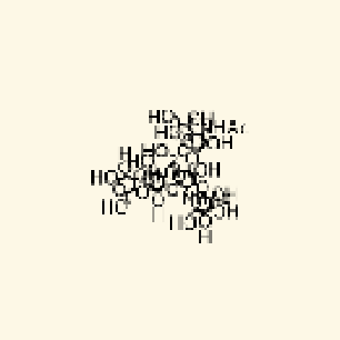 CC(=O)N[C@H]1[C@H](O[C@H]2[C@@H](O)[C@@H](CO)O[C@@H](O[C@H]3[C@H](O)[C@@H](O)C(O)O[C@@H]3CO)[C@@H]2O)O[C@H](CO[C@]2(C(=O)O)C[C@H](O)[C@@H](NC(C)=O)[C@H]([C@H](O)[C@H](O)CO)O2)[C@@H](O)[C@@H]1O[C@@H]1O[C@H](CO)[C@H](O)[C@H](O)[C@H]1O